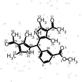 COC(=O)c1cccc(C(c2[nH]c(C)c(C(C)=O)c2C)c2[nH]c(C)c(C(C)=O)c2C)c1